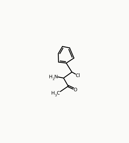 CC(=O)C(N)C(Cl)c1ccccc1